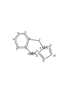 Nc1ccccc1C[SH]1C=CC=C1